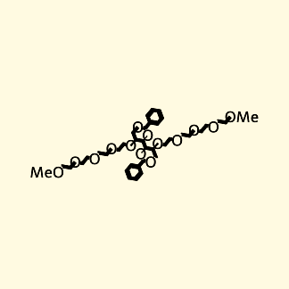 COCCOCCOCCOCCO[C@H]1COC(c2ccccc2)O[C@@H]1[C@H]1OC(c2ccccc2)OC[C@@H]1OCCOCCOCCOCCOC